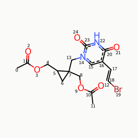 CC(=O)OCC1CC1(COC(C)=O)Cn1cc(C=CBr)c(=O)[nH]c1=O